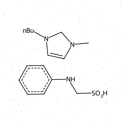 CCCCN1C=CN(C)C1.O=S(=O)(O)CNc1ccccc1